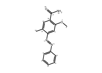 COc1cc(N=Nc2ccccc2)c(C)cc1C(N)=O